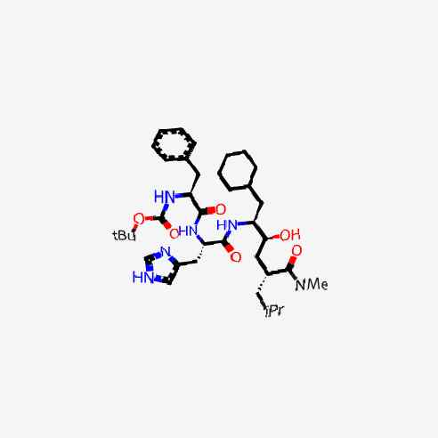 CNC(=O)[C@H](CC(C)C)C[C@H](O)[C@H](CC1CCCCC1)NC(=O)[C@H](Cc1c[nH]cn1)NC(=O)[C@H](Cc1ccccc1)NC(=O)OC(C)(C)C